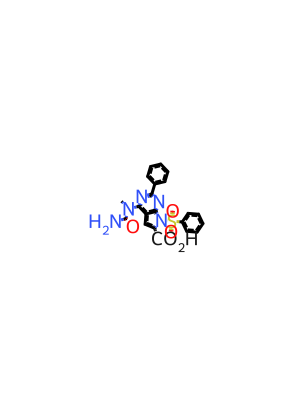 CN(C(N)=O)c1nc(-c2ccccc2)nc2c1cc(C(=O)O)n2S(=O)(=O)c1ccccc1